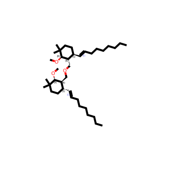 CCCCCCC/C=C/[C@@H]1CCC(C)(C)[C@H](OC)[C@H]1COC[C@H]1[C@H](/C=C/CCCCCCC)CCC(C)(C)[C@@H]1OC